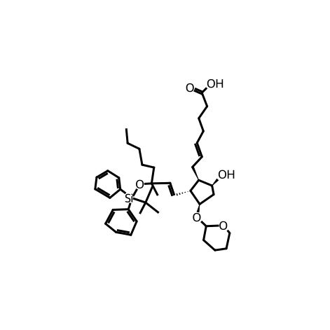 CCCCCC(C)(C=C[C@@H]1[C@@H](CC=CCCCC(=O)O)[C@@H](O)C[C@H]1OC1CCCCO1)O[Si](c1ccccc1)(c1ccccc1)C(C)(C)C